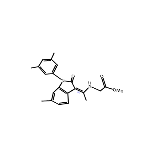 COC(=O)CN/C(C)=C1\C(=O)N(c2cc(C)cc(C)c2)c2cc(C)ccc21